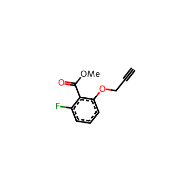 C#CCOc1cccc(F)c1C(=O)OC